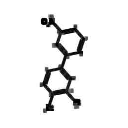 CCc1ccc(-c2[c]ccc([N+](=O)[O-])c2)cc1CC